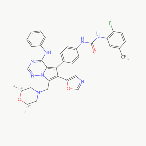 C[C@@H]1CN(Cc2c(-c3cnco3)c(-c3ccc(NC(=O)Nc4cc(C(F)(F)F)ccc4F)cc3)c3c(Nc4ccccc4)ncnn23)C[C@H](C)O1